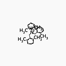 Cc1cccc(C)c1CN(Cc1c(C)cccc1C)c1c(C)cccc1C